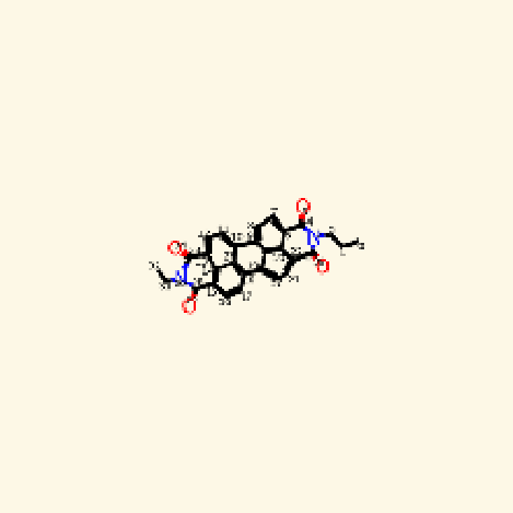 CCCN1C(=O)c2ccc3c4ccc5c6c(ccc(c7ccc(c2c37)C1=O)c64)C(=O)N(CC)C5=O